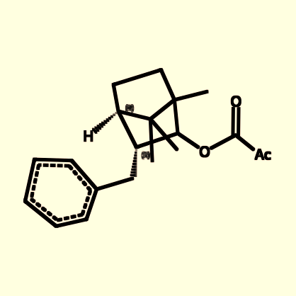 CC(=O)C(=O)OC1[C@H](Cc2ccccc2)[C@H]2CCC1(C)C2(C)C